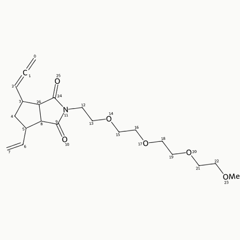 C=C=CC1CC(C=C)C2C(=O)N(CCOCCOCCOCCOC)C(=O)C12